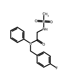 CS(=O)(=O)NCC(=O)N(Cc1ccc(F)cc1)c1ccccc1